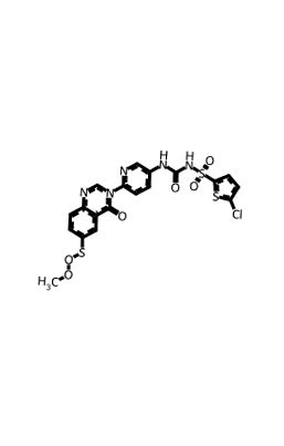 COOSc1ccc2ncn(-c3ccc(NC(=O)NS(=O)(=O)c4ccc(Cl)s4)cn3)c(=O)c2c1